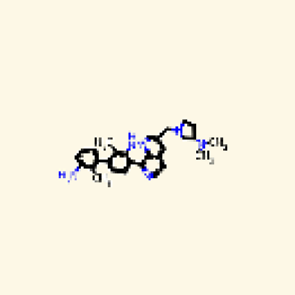 Cc1c(N)cccc1-c1ccc(-c2nccc3cc(CN4CC[C@H](N(C)C)C4)cnc23)c(N)c1C